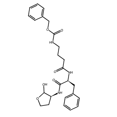 O=C(CCCNC(=O)OCc1ccccc1)N[C@@H](Cc1ccccc1)C(=O)N[C@H]1CCOC1O